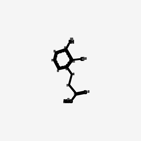 COC(=O)CCc1cccc(S)c1Cl